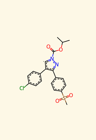 CC(C)OC(=O)n1[c]c(-c2ccc(Cl)cc2)c(-c2ccc(S(C)(=O)=O)cc2)n1